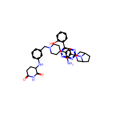 Nc1nnc(-c2ccccc2O)cc1N1CC2CCC(C1)N2c1ncc(C2CCN(Cc3cccc(NC4CCC(=O)NC4=O)c3)CC2)cn1